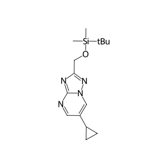 CC(C)(C)[Si](C)(C)OCc1nc2ncc(C3CC3)cn2n1